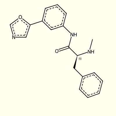 CN[C@@H](Cc1ccccc1)C(=O)Nc1cccc(-c2cnco2)c1